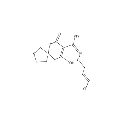 CCC/C(=N/OC/C=C/Cl)C1=C(O)CC2(CCSC2)OC1=O